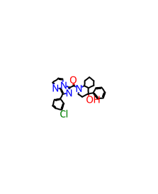 O=C(c1nc(-c2cccc(Cl)c2)c2ncccn12)N1CCC(O)(c2ccccc2)C2CCCCC21